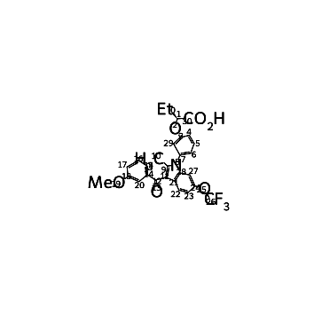 CC[C@H](Oc1cccc(-n2c(C)c(C(=O)c3cccc(OC)c3)c3ccc(OC(F)(F)F)cc32)c1)C(=O)O